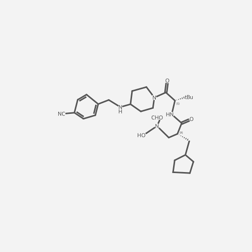 CC(C)(C)[C@H](NC(=O)[C@H](CC1CCCC1)CN(O)C=O)C(=O)N1CCC(NCc2ccc(C#N)cc2)CC1